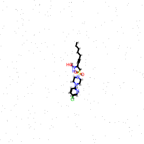 CCCCCC#CC(CS(=O)(=O)N1CCN(c2ccc(Cl)cn2)CC1)NO